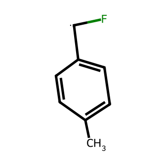 Cc1ccc([CH]F)cc1